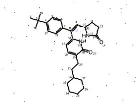 CC(C)(C)c1ccc(/C(=C/[C@H]2CCC(=O)N2)c2ccc(CCC3CCCCC3)c(=O)[nH]2)cc1